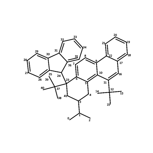 CC(C)C1Cc2c(ccc3c2c(C(C)(C)C)cc2ccccc23)C(C2c3ccccc3-c3ccccc32)(C(C)(C)C)C1